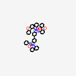 O=P1(c2ccccc2)N(c2ccccc2)c2ccc(-c3ccc4c(c3)N(c3cccc5oc6ccccc6c35)P(=O)(c3ccccc3)N4c3cccc4oc5ccccc5c34)cc2N1c1ccccc1